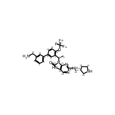 C[C@H](c1cc(-c2cccc(CN)c2)ccc1OC(F)(F)F)n1c(=O)[nH]c2cnc(NC[C@@H]3CCNC3)nc21